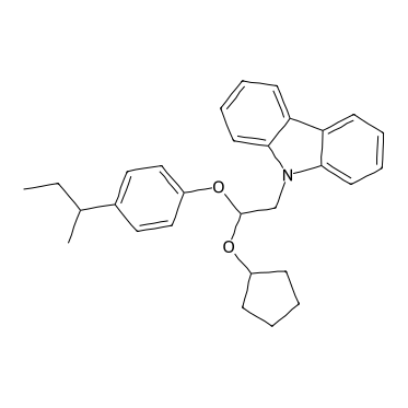 CCC(C)c1ccc(OC(Cn2c3ccccc3c3ccccc32)OC2CCCC2)cc1